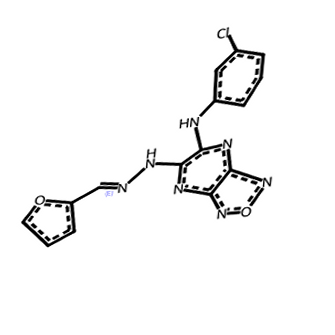 Clc1cccc(Nc2nc3nonc3nc2N/N=C/c2ccco2)c1